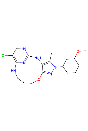 COC1CCCC(n2nc3c(c2C)Nc2ncc(Cl)c(n2)NCCCO3)C1